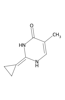 CC1=CNC(=C2CC2)NC1=O